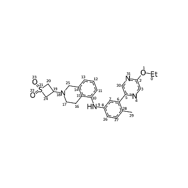 CCOc1cnc(-c2cc(Nc3cccc4c3CCN(C3CS(=O)(=O)C3)C4)ccc2C)cn1